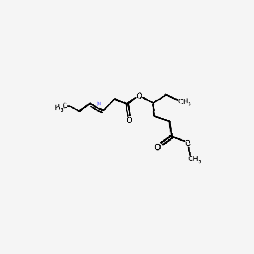 CC/C=C/CC(=O)OC(CC)CCC(=O)OC